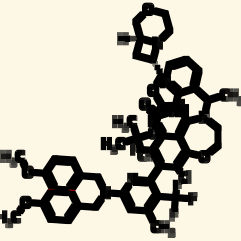 COc1ccc(CN(Cc2ccc(OC)cc2)c2cc(C)c(C(F)(F)F)c(-c3c(Cl)c4c5c(nc(OC[C@@H]6C[C@H]7COCCN76)nc5c3F)N(C(C)c3cccnc3NC(=O)OC(C)(C)C)CCO4)n2)cc1